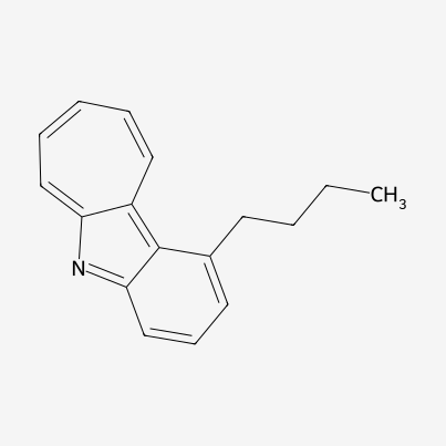 CCCCc1cccc2nc3cccccc-3c12